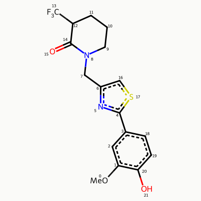 COc1cc(-c2nc(CN3CCCC(C(F)(F)F)C3=O)cs2)ccc1O